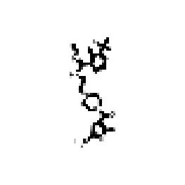 C=C/N=C(/NCCN1CCN(C(=O)C2=C(C)N=C(N)C2)CC1)c1cccc(C(C)(F)F)c1C